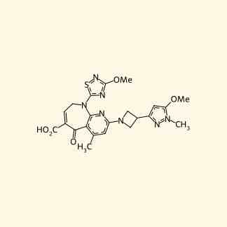 COc1nsc(N2CC=C(C(=O)O)C(=O)c3c(C)cc(N4CC(c5cc(OC)n(C)n5)C4)nc32)n1